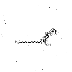 CCCCCCCCCCCCCCC(=O)O[C@@H]1[C@@H](CO)O[C@@H](n2ccc(NC(=O)OC(C)(C)C)nc2=O)C1(F)F